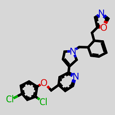 Clc1ccc(OCc2ccnc(C3=CCN(CC4C=CC=CC4Cc4cnco4)C3)c2)c(Cl)c1